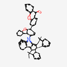 CC1(C)c2ccccc2-c2c3c(c4c(c21)c1ccccc1n4-c1ccc(-c2ccc4c(=O)c5ccccc5oc4c2)c2oc4ccccc4c12)C(C)(C)c1ccccc1-3